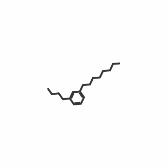 CCCCCCCCc1cccc(CCCC)c1